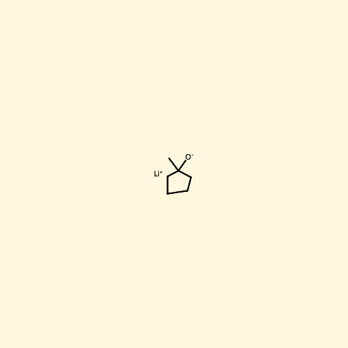 CC1([O-])CCCC1.[Li+]